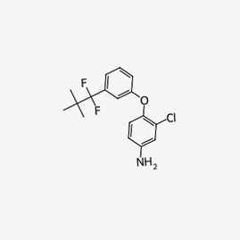 CC(C)(C)C(F)(F)c1cccc(Oc2ccc(N)cc2Cl)c1